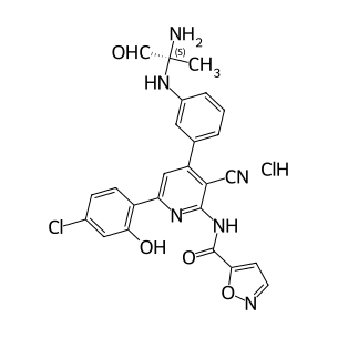 C[C@@](N)(C=O)Nc1cccc(-c2cc(-c3ccc(Cl)cc3O)nc(NC(=O)c3ccno3)c2C#N)c1.Cl